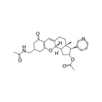 CC(=O)NCC1CC(=O)C2=C(C1)O[C@@H]1C(=C2)CC[C@]2(C)[C@@H](c3cccnc3)C(OC(C)=O)C[C@@H]12